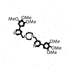 COc1cc(-c2cncc(CN3CCCN(Cc4cncc(-c5cc(OC)c(OC)c(OC)c5)c4)CC3)c2)cc(OC)c1OC